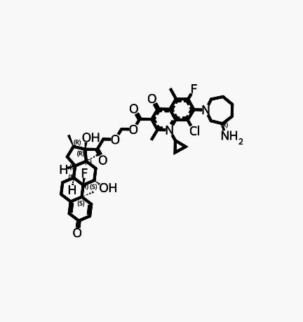 Cc1c(F)c(N2CCCC[C@@H](N)C2)c(Cl)c2c1c(=O)c(C(=O)OCOCC(=O)[C@@]1(O)[C@H](C)C[C@H]3[C@@H]4CCC5=CC(=O)C=C[C@]5(C)[C@@]4(F)[C@@H](O)C[C@@]31C)c(C)n2C1CC1